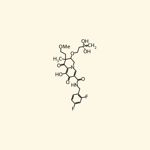 C=P(O)(O)CCOC1Cn2cc(C(=O)NCc3ccc(F)cc3F)c(=O)c(O)c2C(=O)C1(C)CCOC